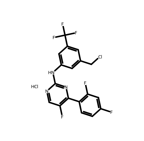 Cl.Fc1ccc(-c2nc(Nc3cc(CCl)cc(C(F)(F)F)c3)ncc2F)c(F)c1